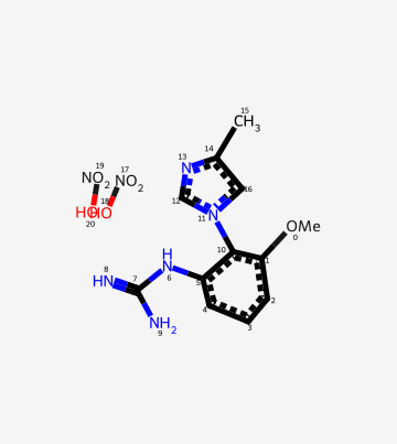 COc1cccc(NC(=N)N)c1-n1cnc(C)c1.O=[N+]([O-])O.O=[N+]([O-])O